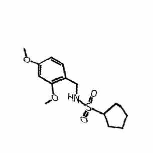 COc1ccc(CNS(=O)(=O)C2CCCC2)c(OC)c1